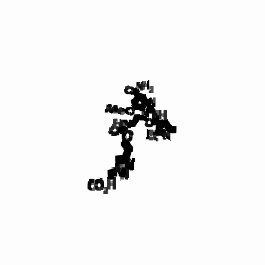 CCn1nc(C)cc1C(=O)Nc1nc2cc(C(N)=O)cc(OC)c2n1CCCNC(=O)OCCc1cn(CC(=O)O)nn1